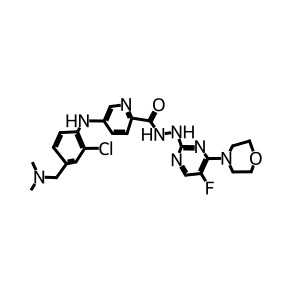 CN(C)Cc1ccc(Nc2ccc(C(=O)NNc3ncc(F)c(N4CCOCC4)n3)nc2)c(Cl)c1